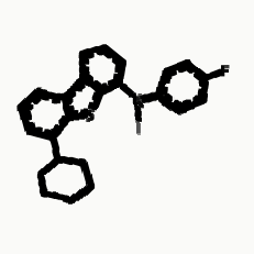 Fc1ccc(N(I)c2cccc3c2sc2c(C4CCCCC4)cccc23)cc1